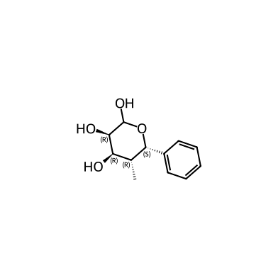 C[C@@H]1[C@@H](O)[C@@H](O)C(O)O[C@@H]1c1ccccc1